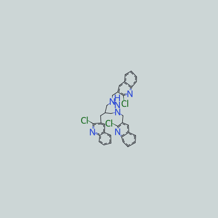 Clc1nc2ccccc2cc1CC1CN(Cc2cc3ccccc3nc2Cl)NN(Cc2cc3ccccc3nc2Cl)C1